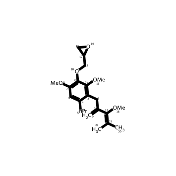 C=C(Cc1c(CCC)cc(OC)c(OCC2CO2)c1OC)C(OC)=C(C)C